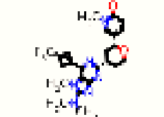 CN(C)c1nc2nc([C@H]3CCO[C@@H](c4ccc(=O)n(C)c4)C3)nc(C34CC(C(F)(F)F)(C3)C4)c2n1C